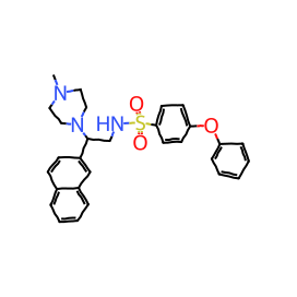 CN1CCN(C(CNS(=O)(=O)c2ccc(Oc3ccccc3)cc2)c2ccc3ccccc3c2)CC1